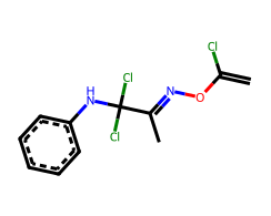 C=C(Cl)ON=C(C)C(Cl)(Cl)Nc1ccccc1